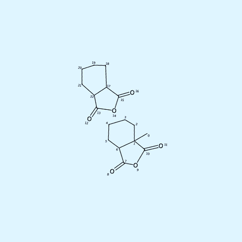 CC12CCCCC1C(=O)OC2=O.O=C1OC(=O)C2CCCCC12